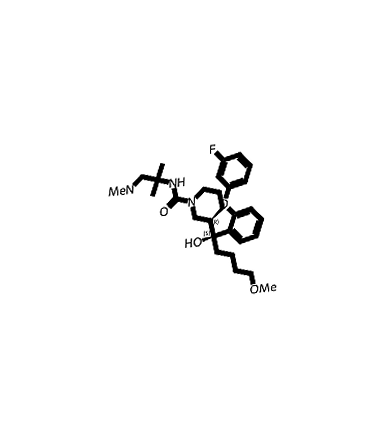 CNCC(C)(C)NC(=O)N1CCC[C@@H]([C@@](O)(CCCCOC)c2ccccc2Oc2cccc(F)c2)C1